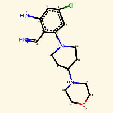 N=Cc1c(N)cc(Cl)cc1N1CCC(N2CCOCC2)CC1